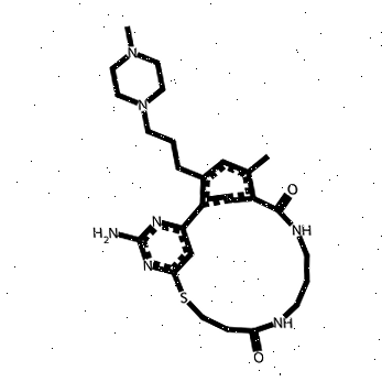 Cc1cc(CCCN2CCN(C)CC2)c2cc1C(=O)NCCCNC(=O)CCSc1cc-2nc(N)n1